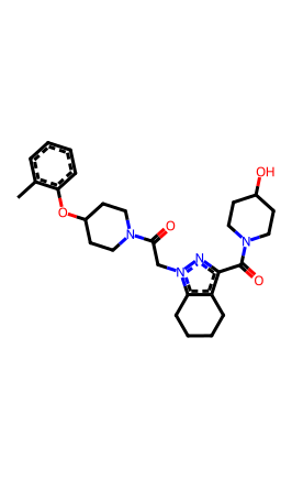 Cc1ccccc1OC1CCN(C(=O)Cn2nc(C(=O)N3CCC(O)CC3)c3c2CCCC3)CC1